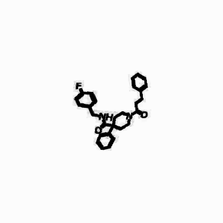 O=C(CCc1ccccc1)N1CCC(C(=O)NCc2ccc(F)cc2)(c2ccccc2)CC1